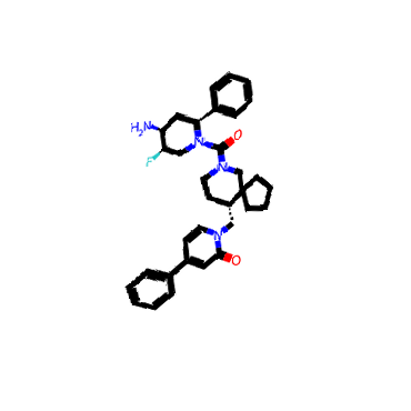 N[C@H]1C[C@@H](c2ccccc2)N(C(=O)N2CC[C@@H](Cn3ccc(-c4ccccc4)cc3=O)C3(CCCC3)C2)C[C@H]1F